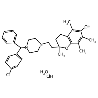 Cc1c(C)c2c(c(C)c1O)CCC(C)(CCN1CCN(C(c3ccccc3)c3ccc(Cl)cc3)CC1)O2.Cl.O